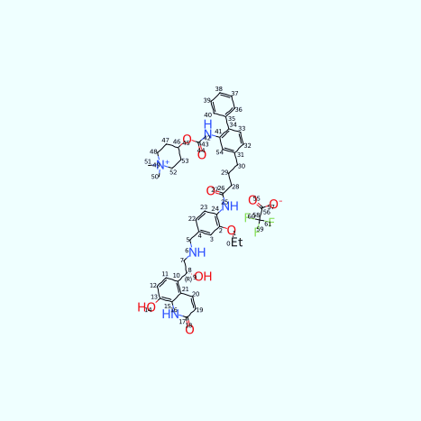 CCOc1cc(CNC[C@H](O)c2ccc(O)c3[nH]c(=O)ccc23)ccc1NC(=O)CCCc1ccc(-c2ccccc2)c(NC(=O)OC2CC[N+](C)(C)CC2)c1.O=C([O-])C(F)(F)F